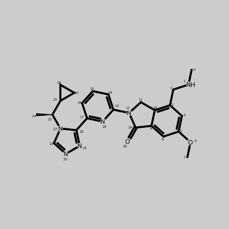 CNCc1cc(OC)cc2c1CN(c1cccc(-c3nncn3[C@@H](C)C3CC3)n1)C2=O